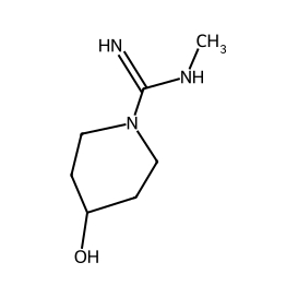 CNC(=N)N1CCC(O)CC1